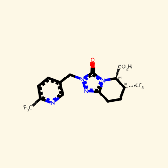 O=C(O)[C@H]1[C@H](C(F)(F)F)CCc2nn(Cc3ccc(C(F)(F)F)nc3)c(=O)n21